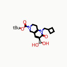 CC(C)(C)OC(=O)N1CCc2c(cc(B(O)O)c(=O)n2CC2CCC2)C1